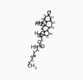 CCCSSCCNC(=O)OCC(=O)C1CCC2C3CCC4=CC(=O)C=CC4(C)C3C(O)CC12C